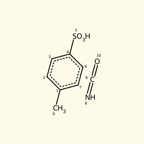 Cc1ccc(S(=O)(=O)O)cc1.N=C=O